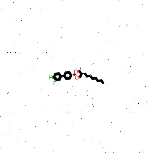 CCCCCCCC[C@H]1CO[C@H](C2CCC(c3ccc(F)c(F)c3)CC2)O[C@@H]1C